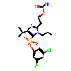 CCCn1c(CCOC(N)=O)nc(C(C)C)c1S(=O)(=O)Oc1cc(Cl)cc(Cl)c1